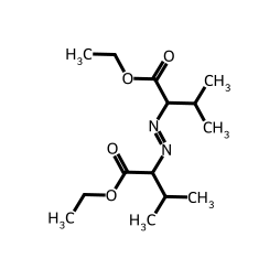 CCOC(=O)C(N=NC(C(=O)OCC)C(C)C)C(C)C